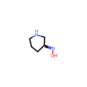 O/N=C1\CCCNC1